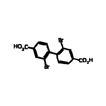 O=C(O)c1ccc(-c2ccc(C(=O)O)cc2Br)c(Br)c1